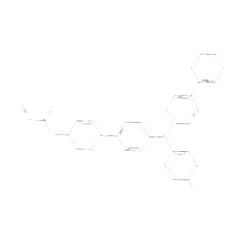 C=CC(=O)Oc1ccc(-c2ccc(N(c3ccc(C)cc3)c3ccc(-c4ccccc4)cc3)cc2)cc1